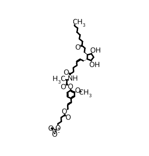 CCCCCCCC(=O)CC[C@@H]1[C@@H](C/C=C\CCCC(=O)NC(C)C(=O)Oc2ccc(/C=C/COC(=O)CCCO[N+](=O)[O-])cc2OC)[C@@H](O)C[C@H]1O